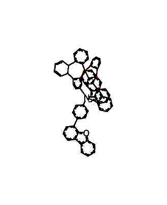 C1=CC2c3ccccc3C3(c4ccccc4-c4cc5c(cc43)sc3ccccc35)c3cc(N(c4ccc(-c5cccc6c5oc5ccccc56)cc4)c4ccccc4-c4ccccc4)ccc3C2C=C1